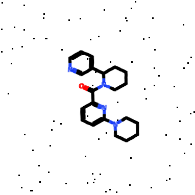 O=C(c1cccc(N2CCCCC2)n1)N1CCCCC1c1cccnc1